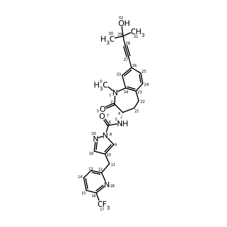 CN1C(=O)[C@@H](NC(=O)n2cc(Cc3cccc(C(F)(F)F)n3)cn2)CCc2ccc(C#CC(C)(C)O)cc21